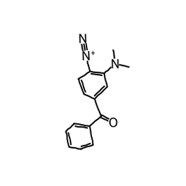 CN(C)c1cc(C(=O)c2ccccc2)ccc1[N+]#N